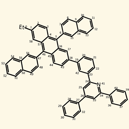 CCc1ccc2c(-c3ccc4ccccc4c3)c3cc(-c4cccc(-c5cc(-c6ccccc6)cc(-c6ccccc6)n5)c4)ccc3c(-c3ccc4ccccc4c3)c2c1